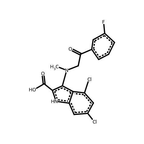 CN(CC(=O)c1cccc(F)c1)c1c(C(=O)O)[nH]c2cc(Cl)cc(Cl)c12